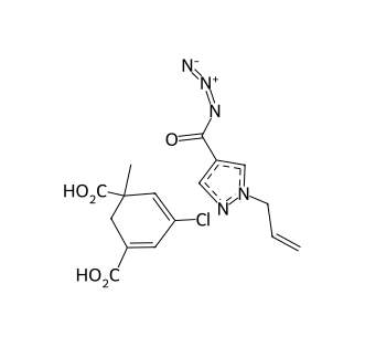 C=CCn1cc(C(=O)N=[N+]=[N-])cn1.CC1(C(=O)O)C=C(Cl)C=C(C(=O)O)C1